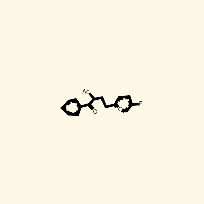 CC(=O)C(CCc1ccc(F)cc1)C(=O)c1ccccc1